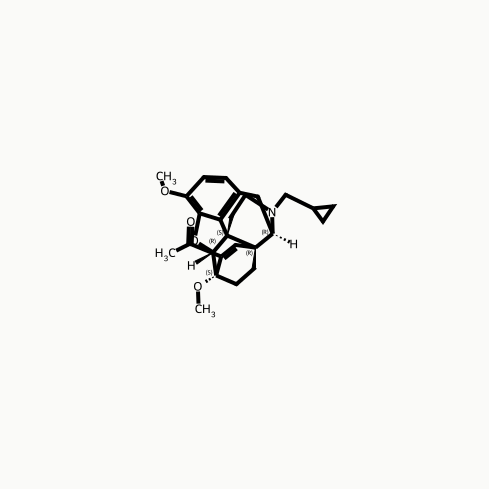 COc1ccc2c3c1O[C@H]1[C@]4(OC)CC[C@]5(C=C4C(C)=O)[C@@H](C2)N(CC2CC2)CC[C@]315